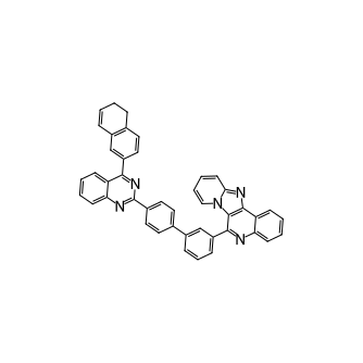 C1=Cc2cc(-c3nc(-c4ccc(-c5cccc(-c6nc7ccccc7c7nc8ccccn8c67)c5)cc4)nc4ccccc34)ccc2CC1